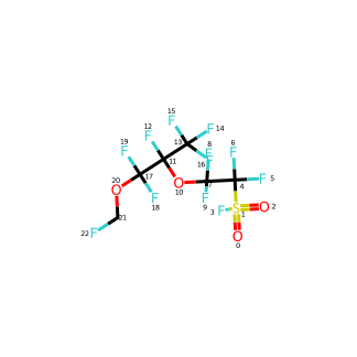 O=S(=O)(F)C(F)(F)C(F)(F)OC(F)(C(F)(F)F)C(F)(F)OCF